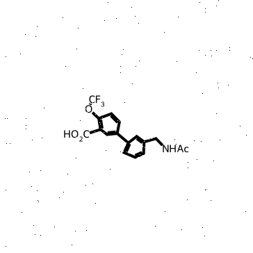 CC(=O)NCc1cccc(-c2ccc(OC(F)(F)F)c(C(=O)O)c2)c1